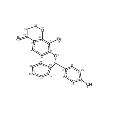 N#Cc1ccc([C@@H](Oc2ccc3c(c2Br)OCCC3=O)c2ccncc2)cc1